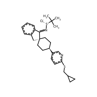 CC(C)(C)[S@@+]([O-])N=C1c2ccccc2C[C@]12CC[C@H](c1ccc(SCC3CC3)nc1)CC2